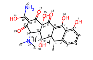 C[C@H]1c2cccc(O)c2C(O)=C2C(=O)[C@]3(O)C(=O)C(=C(N)O)C(=O)[C@@H](N(C)C)[C@@H]3[C@@H](O)[C@@H]21